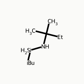 CCC(C)[SiH2]NC(C)(C)CC